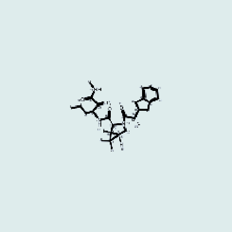 CCCC(NC(=O)[C@@H]1[C@@H]2[C@H](CN1C(=O)[C@@H](C)C1Cc3ccccc3C1)C2(C)C)C(=O)C(=O)NC